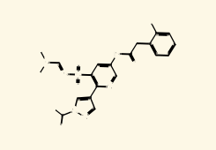 CN(C)C=NS(=O)(=O)c1cc(NC(=O)Cc2ccccc2Cl)cnc1-c1cnn(C(F)F)c1